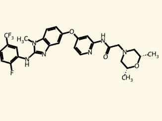 C[C@@H]1CN(CC(=O)Nc2cc(Oc3ccc4c(c3)nc(Nc3cc(C(F)(F)F)ccc3F)n4C)ccn2)C[C@H](C)O1